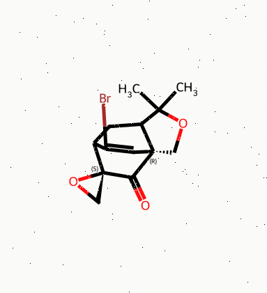 CC1(C)OC[C@]23C=C(Br)C(CC12)[C@]1(CO1)C3=O